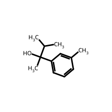 Cc1cccc(C(C)(O)C(C)C)c1